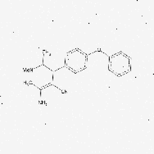 CNC(C)C(/C(C#N)=C(\C)N)c1ccc(Oc2ccccc2)cc1